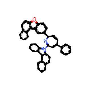 C1=CC(c2ccc3oc4ccc5ccccc5c4c3c2)N=C(n2c3ccccc3c3c4ccccc4ccc32)C=C1c1ccccc1